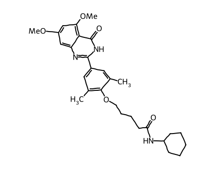 COc1cc(OC)c2c(=O)[nH]c(-c3cc(C)c(OCCCCC(=O)NC4CCCCC4)c(C)c3)nc2c1